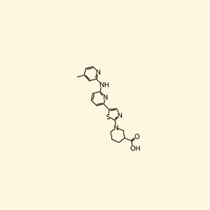 Cc1ccnc(Nc2cccc(-c3cnc(N4CCCC(C(=O)O)C4)s3)n2)c1